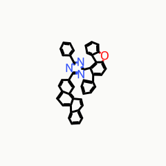 c1ccc(-c2nc(-c3ccc4ccc5c6ccccc6ccc5c4c3)nc(-c3c(-c4ccccc4)ccc4oc5ccccc5c34)n2)cc1